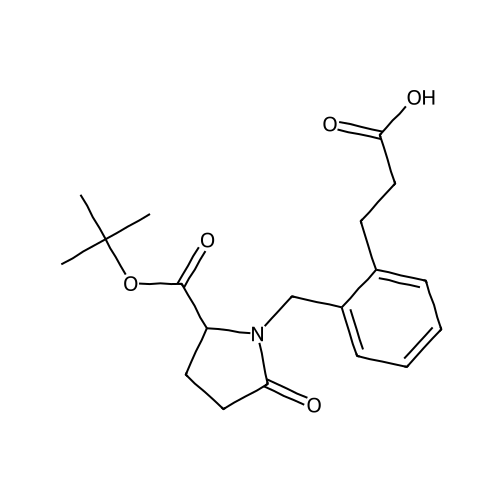 CC(C)(C)OC(=O)C1CCC(=O)N1Cc1ccccc1CCC(=O)O